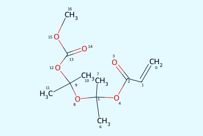 C=CC(=O)OC(C)(C)OC(C)(C)OC(=O)OC